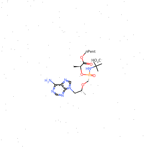 CCCCCOC(=O)[C@H](C)O[P@@](=O)(CO[C@H](C)Cn1cnc2c(N)ncnc21)NC(C)(C)C(=O)O